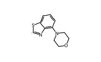 [c]1nc2c(N3CCOCC3)cccc2s1